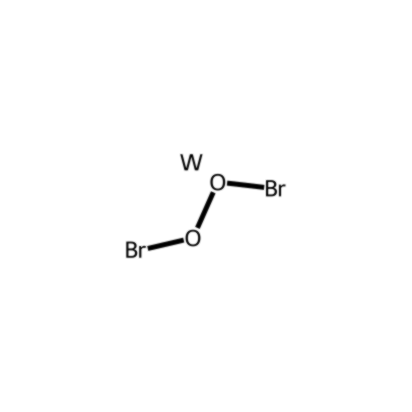 BrOOBr.[W]